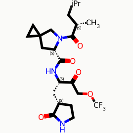 CC(C)C[C@H](C)C(=O)N1CC2(CC2)C[C@H]1C(=O)N[C@@H](C[C@@H]1CCNC1=O)C(=O)COC(F)(F)F